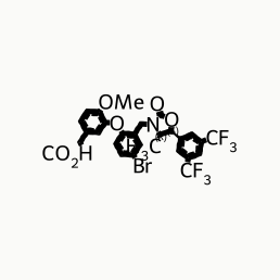 COc1ccc(CC(=O)O)cc1Oc1ccc(Br)cc1CN1C(=O)O[C@@H](c2cc(C(F)(F)F)cc(C(F)(F)F)c2)[C@H]1C